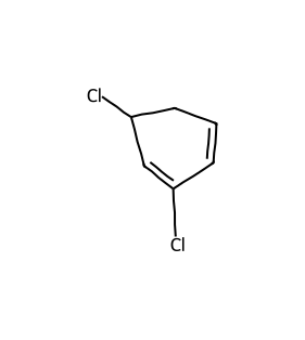 ClC1=CC(Cl)CC=C1